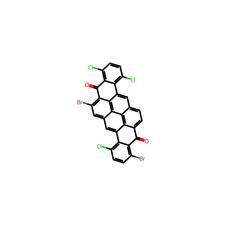 O=c1c2ccc3cc4c5c(Cl)ccc(Cl)c5c(=O)c5c(Br)cc6cc(c7c(Cl)ccc(Br)c17)c2c3c6c54